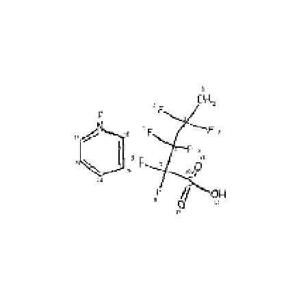 CC(F)(F)C(F)(F)C(F)(F)S(=O)(=O)O.c1ccncc1